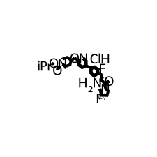 CC(C)OC(=O)N1CCC(Oc2ccc(-c3ccc(C[C@H](N)C(=O)N4CC[C@H](F)C4)c(F)c3)cn2)CC1.Cl